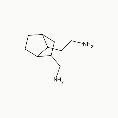 NCCC1C2CCC1C(CN)C2